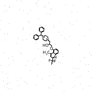 Cc1cc(C(F)(F)F)nc2cccc(OCC(O)CN3CCN(C(c4ccccc4)c4ccccc4)CC3)c12